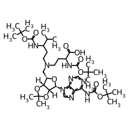 CC(C)C(CCN(CCC(NC(=O)OC(C)(C)C)C(=O)O)C[C@H]1O[C@@H](n2cnc3c(NC(=O)OC(C)(C)C)ncnc32)[C@@H]2OC(C)(C)O[C@@H]21)NC(=O)OC(C)(C)C